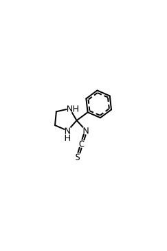 S=C=NC1(c2ccccc2)NCCN1